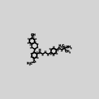 COc1ccc(C2CCc3cc(O)ccc3C2)c(NCCCc2ccc(OCC(C)(C)N)cc2)c1